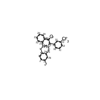 Cc1ccc(Cn2nc(-c3cccc(C(F)(F)F)c3)c(=O)c3ccccc32)c(F)c1